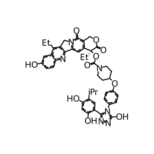 CCc1c2c(nc3ccc(O)cc13)-c1cc3c(c(=O)n1C2)COC(=O)[C@@]3(CC)OC(=O)N1CCC(Oc2ccc(-n3c(O)nnc3-c3cc(C(C)C)c(O)cc3O)cc2)CC1